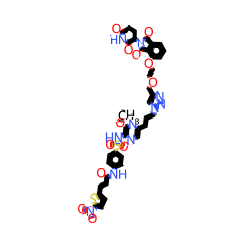 COc1nc(CCCn2cc(COCCOc3cccc4c3C(=O)N(C3CCC(=O)NC3=O)C4=O)nn2)cnc1NS(=O)(=O)c1ccc(NC(=O)/C=C/c2ccc([N+](=O)[O-])s2)cc1